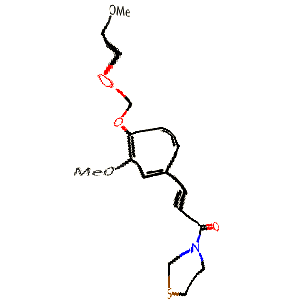 COCCOCOc1ccc(C=CC(=O)N2CCSC2)cc1OC